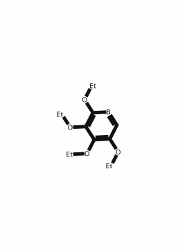 CCOc1bcc(OCC)c(OCC)c1OCC